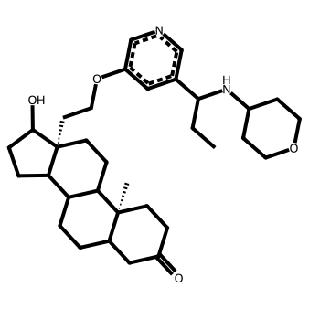 CCC(NC1CCOCC1)c1cncc(OCC[C@]23CCC4C(CCC5CC(=O)CC[C@@]54C)C2CCC3O)c1